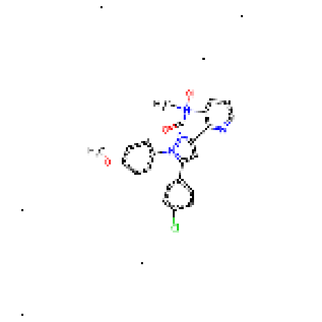 COc1ccc(-n2nc(-c3ncccc3[N+](C)(O)C=O)cc2-c2ccc(Cl)cc2)cc1